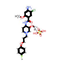 COc1cc(N)c(Cl)cc1C(=O)NC1CCN(CCCOc2ccc(F)cc2)CC1OC.O=S(=O)(O)O